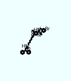 COc1cc2c(N[C@H](C)c3cccc(Br)c3)nc(C)nc2cc1OCCCCCCCNC(=O)CC(c1ccccc1)c1ccccc1